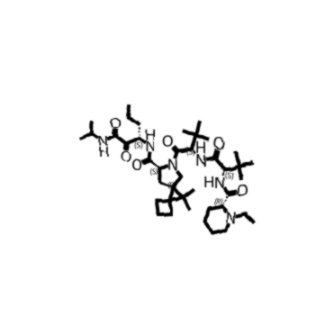 CCC[C@H](NC(=O)[C@@H]1C[C@@]2(CN1C(=O)[C@@H](NC(=O)[C@@H](NC(=O)[C@H]1CCCCN1CC)C(C)(C)C)C(C)(C)C)C(C)(C)C21CCC1)C(=O)C(=O)NC(C)C